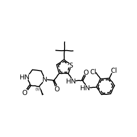 C[C@H]1C(=O)NCCN1C(=O)c1cc(C(C)(C)C)sc1NC(=O)Nc1cccc(Cl)c1Cl